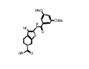 CCCC(=O)N1CCc2c(sc(NC(=O)c3cc(OC)cc(OC)c3)c2C#N)C1